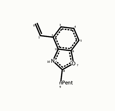 C=Cc1cccc2oc(CCCCC)nc12